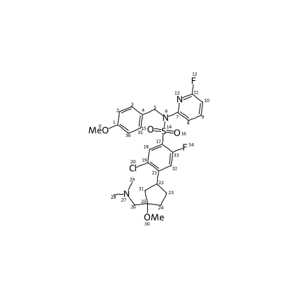 COc1ccc(CN(c2cccc(F)n2)S(=O)(=O)c2cc(Cl)c(C3CCC(CN(C)C)(OC)C3)cc2F)cc1